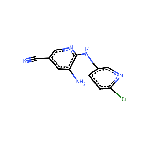 N#Cc1cnc(Nc2ccc(Cl)nc2)c(N)c1